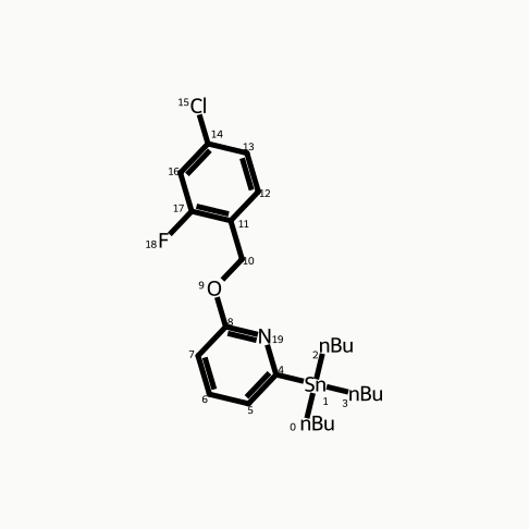 CCC[CH2][Sn]([CH2]CCC)([CH2]CCC)[c]1cccc(OCc2ccc(Cl)cc2F)n1